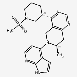 C[C@@H]1Cc2ncnc([C@H]3CCCN(S(C)(=O)=O)C3)c2CN1c1ccnc2[nH]ccc12